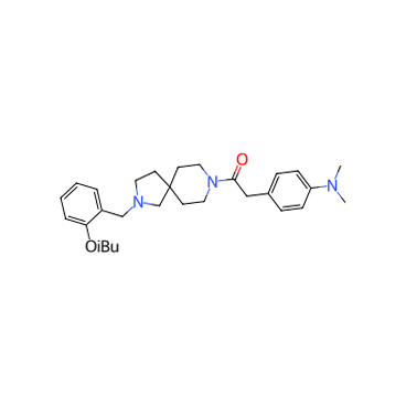 CC(C)COc1ccccc1CN1CCC2(CCN(C(=O)Cc3ccc(N(C)C)cc3)CC2)C1